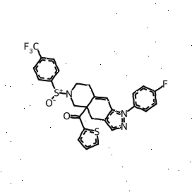 O=C(c1cccs1)C12Cc3cnn(-c4ccc(F)cc4)c3C=C1CCN([S+]([O-])c1ccc(C(F)(F)F)cc1)C2